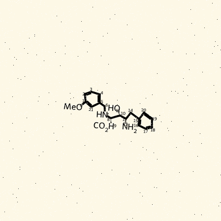 COc1cccc(CN[C@@H](C(=O)O)[C@H](O)[C@@H](N)Cc2ccccc2)c1